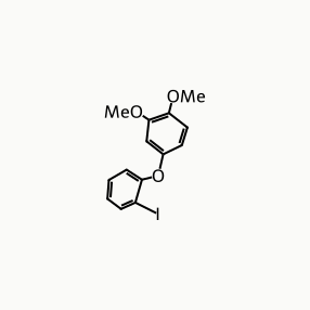 COc1ccc(Oc2ccccc2I)cc1OC